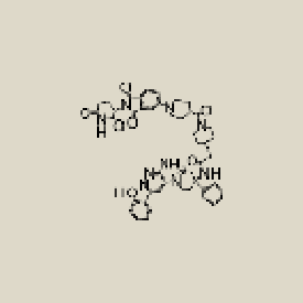 Nc1nnc(-c2ccccc2O)cc1N1CCC(NC(=O)CC2CCN(C(=O)C3CCN(c4ccc5c(c4)C(=O)N(C4CCC(=O)NC4=O)C5=O)CC3)CC2)(c2ccccc2)CC1